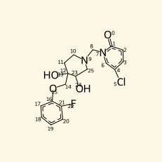 O=c1ccc(Cl)cn1CN1CCC(O)(COc2ccccc2F)C(O)C1